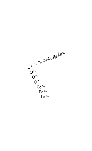 [Ba+2].[Ba+2].[Co+2].[Co+2].[La+3].[La+3].[O-2].[O-2].[O-2].[O-2].[O-2].[O-2].[O-2]